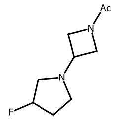 CC(=O)N1CC(N2CCC(F)C2)C1